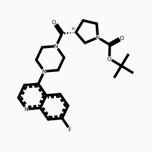 CC(C)(C)OC(=O)N1CC[C@@H](C(=O)N2CCN(c3ccnc4cc(F)ccc34)CC2)C1